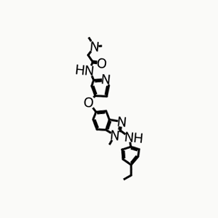 CCc1ccc(Nc2nc3cc(Oc4ccnc(NC(=O)CN(C)C)c4)ccc3n2C)cc1